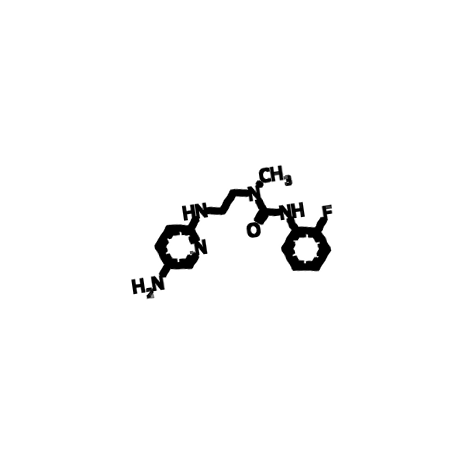 CN(CCNc1ccc(N)cn1)C(=O)Nc1ccccc1F